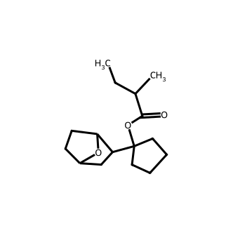 CCC(C)C(=O)OC1(C2CC3CCC2O3)CCCC1